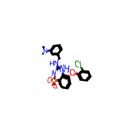 CN(C)c1cccc(CNC2=NS(=O)(=O)c3cccc(Oc4ccccc4Cl)c3N2)c1